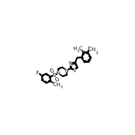 Cc1ccc(F)cc1S(=O)(=O)N1CCN(c2nc(Cc3cccc(C)c3C)cs2)CC1